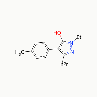 CCCc1nn(CC)c(O)c1-c1ccc(C)cc1